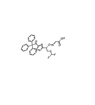 O=C(O)C=NOC(CSC(F)F)c1csc(NC(c2ccccc2)(c2ccccc2)c2ccccc2)n1